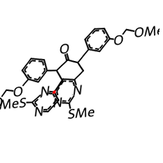 COCOc1cccc(C(Cc2ccnc(SC)n2)C(=O)C(Cc2ccnc(SC)n2)c2cccc(OCOC)c2)c1